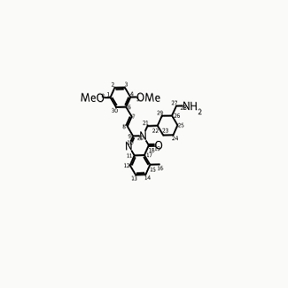 COc1ccc(OC)c(C=Cc2nc3cccc(C)c3c(=O)n2CC2CCCC(CN)C2)c1